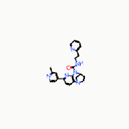 Cc1cc(-c2ccc3c(n2)N(C(=O)NCCc2ccccn2)C2CCN3C2)ccn1